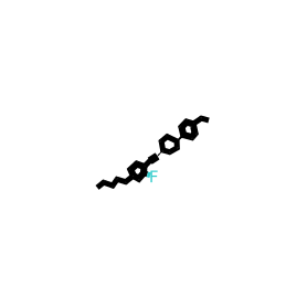 CCCCCc1ccc(C#C[C@H]2CC[C@H](c3ccc(CC)cc3)CC2)c(F)c1